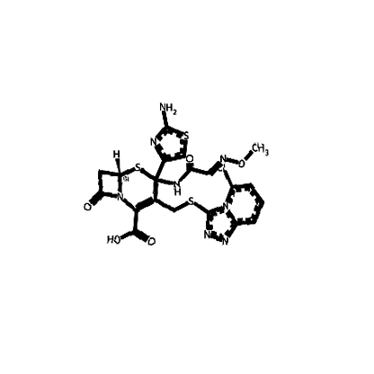 CON=CC(=O)NC1(c2csc(N)n2)S[C@H]2CC(=O)N2C(C(=O)O)=C1CSc1nnc2cccc(Cl)n12